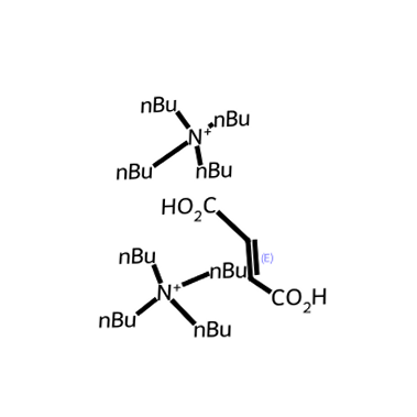 CCCC[N+](CCCC)(CCCC)CCCC.CCCC[N+](CCCC)(CCCC)CCCC.O=C(O)/C=C/C(=O)O